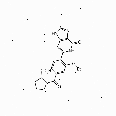 CCOc1cc(C(=O)N2CCC[C@@H]2C(=O)O)ccc1-c1nc2[nH]nnc2c(=O)[nH]1